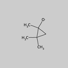 CC1(C)CC1(C)[O]